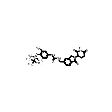 Cc1cc(NC(=O)NCc2ccc3c(c2)CN(C2CCC(=O)NC2=O)C3=O)ccc1O[Si](C)(C)C(C)(C)C